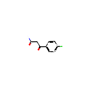 NC(=O)CC(=O)c1ccc(Cl)cc1